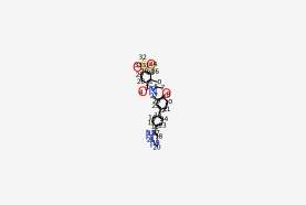 Cc1c(C(=O)N2CCOc3ccc(-c4ccc(-c5cn(C)cn5)cc4)cc3C2)ccc(S(C)(=O)=O)c1F